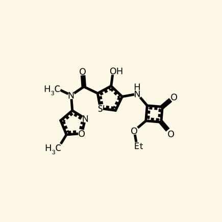 CCOc1c(Nc2csc(C(=O)N(C)c3cc(C)on3)c2O)c(=O)c1=O